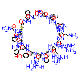 CC[C@H](C)[C@@H]1NC(=O)[C@H]([C@@H](C)O)NC(=O)CNC(=O)[C@H](Cc2ccccc2)NC(=O)CSC[C@@H](C(=O)NCC(N)=O)NC(=O)[C@H](Cc2ccccc2)NC(=O)[C@H](Cc2c[nH]c3ccccc23)NC(=O)[C@H](Cc2ccc(O)cc2)NC(=O)[C@H](CCCNC(=N)N)NC(=O)[C@H](Cc2ccccc2)NC(=O)[C@H](CCCNC(=N)N)NC(=O)[C@H](CCCNC(=N)N)NC(=O)[C@H](CCCCN)NC(=O)[C@H](Cc2cnc[nH]2)NC1=O